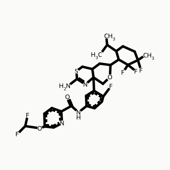 CC(C)C1CCC(C)(F)C(F)(F)C1C1CC2CSC(N)=NC2(c2cc(NC(=O)c3ccc(OC(F)F)cn3)ccc2F)CO1